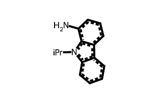 CC(C)n1c2ccccc2c2cccc(N)c21